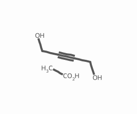 CC(=O)O.OCC#CCO